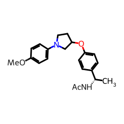 COc1ccc(N2CCC(Oc3ccc([C@H](C)NC(C)=O)cc3)C2)cc1